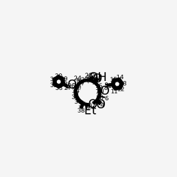 CC[C@H]1OC(=O)[C@H](C)[C@@H](OCc2ccccc2)CC(=O)[C@](C)(O)C[C@@H](C)[C@H](OCc2ccccc2)C=C=C=C1C